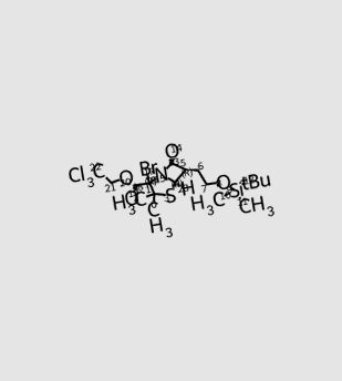 CC1(C)S[C@@H]2[C@H](CCO[Si](C)(C)C(C)(C)C)C(=O)N2[C@@]1(Br)C(=O)OCC(Cl)(Cl)Cl